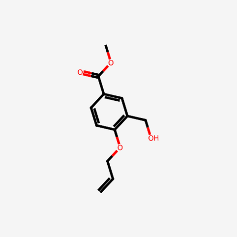 C=CCOc1ccc(C(=O)OC)cc1CO